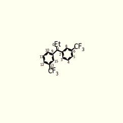 CCC(c1cccc(C(F)(F)F)c1)c1cccc(C(F)(F)F)c1